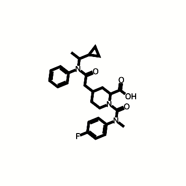 CC(C1CC1)N(C(=O)CC1CCN(C(=O)N(C)c2ccc(F)cc2)C(C(=O)O)C1)c1ccccc1